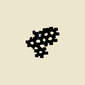 C/N=C1\c2ccccc2B(c2ccccc2)c2cc3ccc4cccc5ccc(c21)c3c45